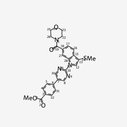 COC(=O)c1ccc(-c2cnc(-n3cc(SC)c4ccc(C(=O)N5CCOCC5)cc43)nc2)cc1